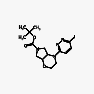 CC(C)(C)OC(=O)N1CC2OCCN(c3ccc(I)nn3)C2C1